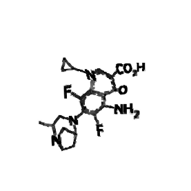 CC1CN(c2c(F)c(N)c3c(=O)c(C(=O)O)cn(C4CC4)c3c2F)C2CCN1C2